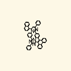 c1ccc(-c2cc(-c3cccc4ccccc34)nc(-c3ccc(-c4c(-c5nc(-c6ccccc6)nc(-c6ccccc6)n5)c5ccccc5c5ccccc45)cc3)n2)cc1